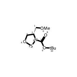 COC[C@H]1COSN1C(=O)OC(C)(C)C